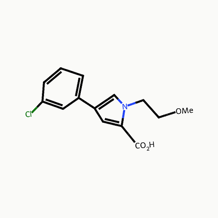 COCCn1cc(-c2cccc(Cl)c2)cc1C(=O)O